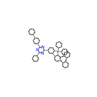 c1ccc(-c2ccc(-c3nc(-c4ccccc4)nc(-c4ccc5c(c4)-c4ccc6c7ccccc7c7ccccc7c6c4C5(c4ccccc4)c4ccccc4)n3)cc2)cc1